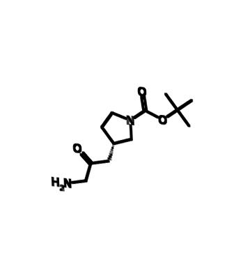 CC(C)(C)OC(=O)N1CC[C@@H](CC(=O)CN)C1